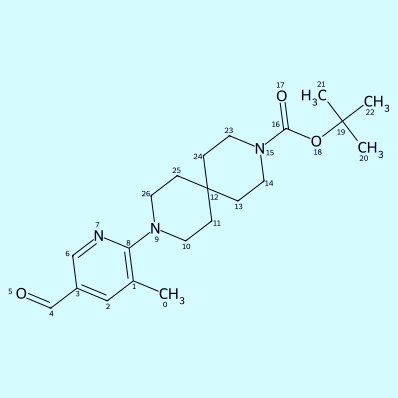 Cc1cc(C=O)cnc1N1CCC2(CCN(C(=O)OC(C)(C)C)CC2)CC1